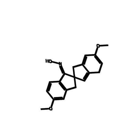 COC1=CCC2=CC3(CC2=C1)Cc1cc(OC)ccc1C3=NO